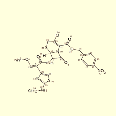 CCCO/N=C(\C(=O)NC1C(=O)N2C(C(=O)OCc3ccc([N+](=O)[O-])cc3)=C(Cl)CS[C@H]12)c1csc(NC=O)n1